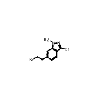 CCc1nn(C)c2cc(CCBr)ccc12